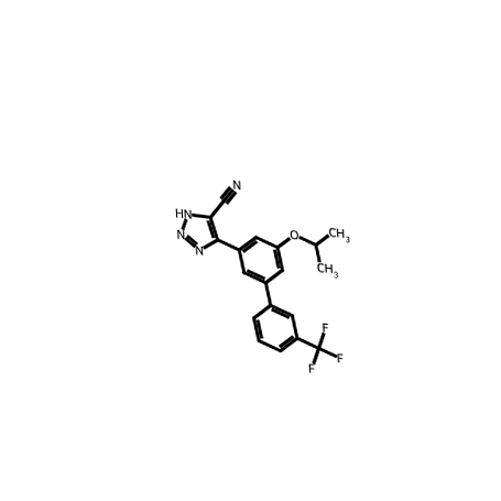 CC(C)Oc1cc(-c2cccc(C(F)(F)F)c2)cc(-c2nn[nH]c2C#N)c1